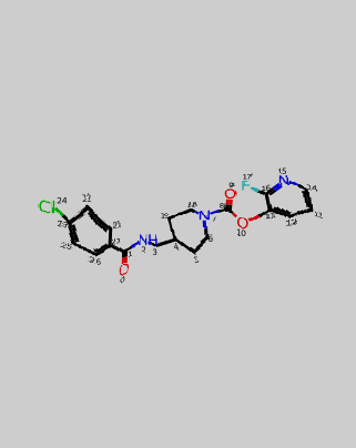 O=C(NCC1CCN(C(=O)Oc2cccnc2F)CC1)c1ccc(Cl)cc1